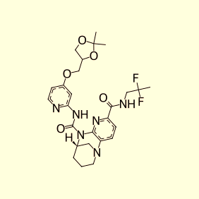 CC(F)(F)CNC(=O)c1ccc2c(n1)N(C(=O)Nc1cc(OCC3COC(C)(C)O3)ccn1)[C@H]1CCCN2C1